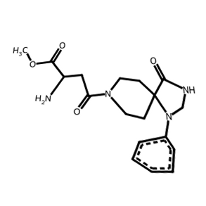 COC(=O)C(N)CC(=O)N1CCC2(CC1)C(=O)NCN2c1ccccc1